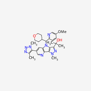 COc1ccc(C(C2CCOCC2)n2c3cc(-c4c(C)nnn4C)cnc3c3c2c(C(C)(C)O)nn3C)nc1